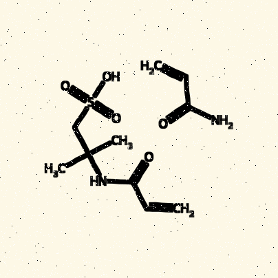 C=CC(=O)NC(C)(C)CS(=O)(=O)O.C=CC(N)=O